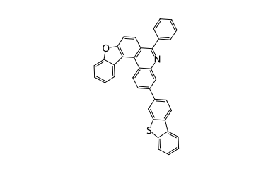 c1ccc(-c2nc3cc(-c4ccc5c(c4)sc4ccccc45)ccc3c3c2ccc2oc4ccccc4c23)cc1